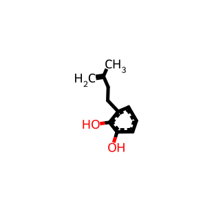 C=C(C)CCc1cccc(O)c1O